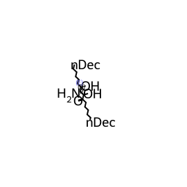 CCCCCCCCCCCCC/C=C/[C@@H](O)[C@@H](N)C(O)C(=O)CCCCCCCCCCCCCCC